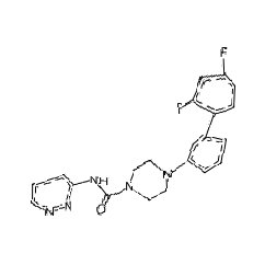 O=C(Nc1cccnn1)N1CCN(c2cccc(-c3ccc(F)cc3F)c2)CC1